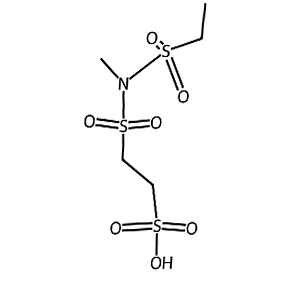 CCS(=O)(=O)N(C)S(=O)(=O)CCS(=O)(=O)O